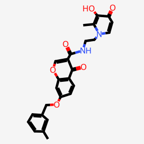 Cc1cccc(COc2ccc3c(=O)c(C(=O)NCCn4ccc(=O)c(O)c4C)coc3c2)c1